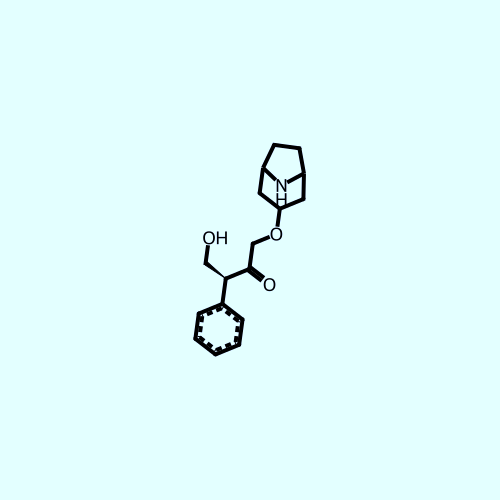 O=C(COC1CC2CCC(C1)N2)[C@H](CO)c1ccccc1